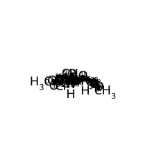 COC(=O)c1ccc(C(C)n2c(=O)[nH]c3ccc(C(=O)NCc4ccc(OC)cc4)cc3c2=O)cc1Cl